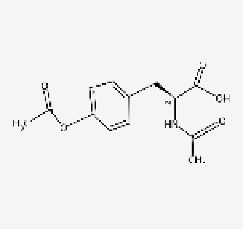 CC(=O)N[C@@H](Cc1ccc(OC(C)=O)cc1)C(=O)O